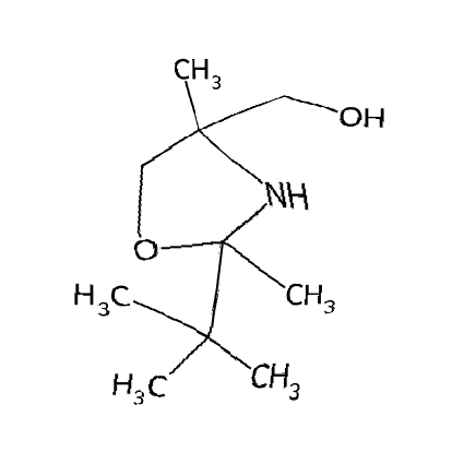 CC1(CO)COC(C)(C(C)(C)C)N1